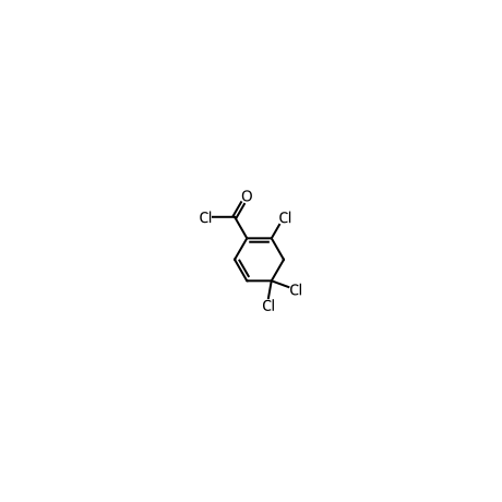 O=C(Cl)C1=C(Cl)CC(Cl)(Cl)C=C1